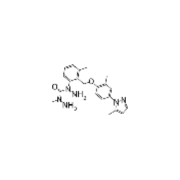 Cc1cc(-n2nccc2C)ccc1OCc1c(C)cccc1N(N)C(=O)N(C)N